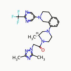 Cc1nc(C)n(CC(=O)N2CCN(c3cccc4c3CN(c3cnc(C(F)(F)F)nc3)CC4)C[C@H]2C)n1